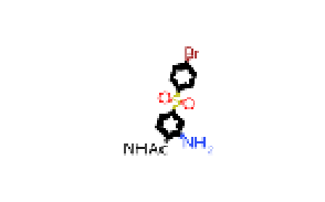 CC(=O)Nc1ccc(S(=O)(=O)c2ccc(Br)cc2)cc1N